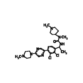 CC(NC(=O)N(C)C1CCN(C)CC1)c1ccc(-c2cnc(N3CCN(C)CC3)cn2)c(Cl)c1Cl